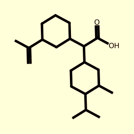 C=C(C)C1CCCC(C(C(=O)O)C2CCC(C(C)C)C(C)C2)C1